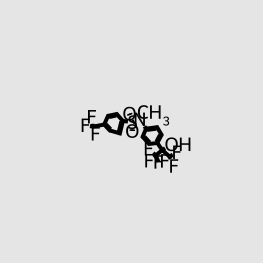 CN(c1ccc(C(O)(C(F)(F)F)C(F)(F)F)cc1)S(=O)(=O)c1ccc(C(F)(F)F)cc1